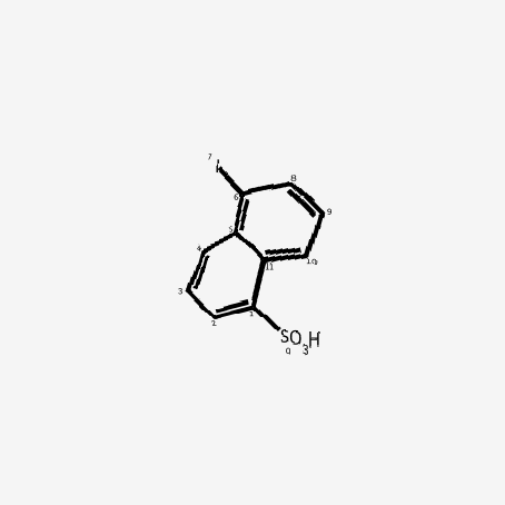 O=S(=O)(O)c1cccc2c(I)cccc12